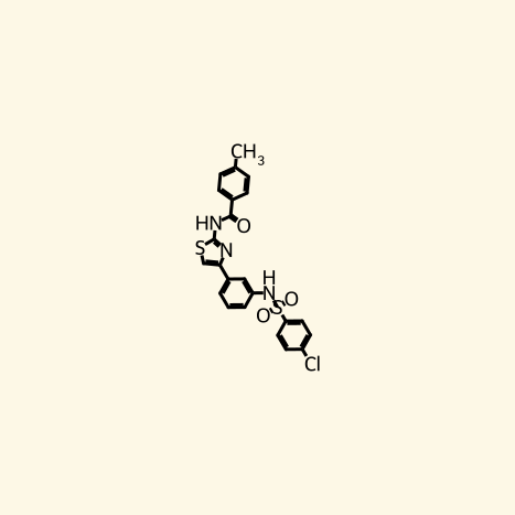 Cc1ccc(C(=O)Nc2nc(-c3cccc(NS(=O)(=O)c4ccc(Cl)cc4)c3)cs2)cc1